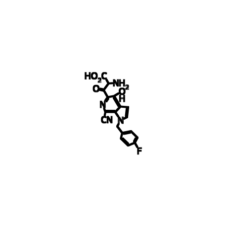 N#Cc1nc(C(=O)C(N)C(=O)O)c(O)c2ccn(Cc3ccc(F)cc3)c12